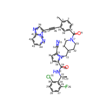 Cc1ccc(C(=O)N2CCC(Cn3c(C#N)ccc3C(=O)N[C@@H](C)c3c(F)cccc3Cl)CC2)cc1C#Cc1cnc2cccnn12